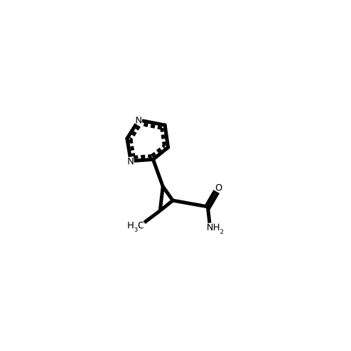 CC1C(C(N)=O)C1c1ccncn1